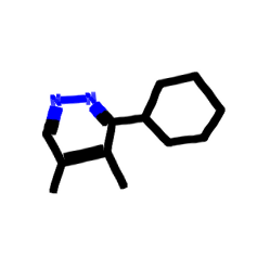 Cc1cnnc(C2CCCCC2)c1C